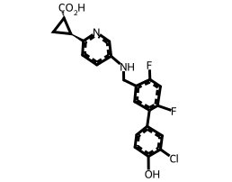 O=C(O)[C@H]1C[C@@H]1c1ccc(NCc2cc(-c3ccc(O)c(Cl)c3)c(F)cc2F)cn1